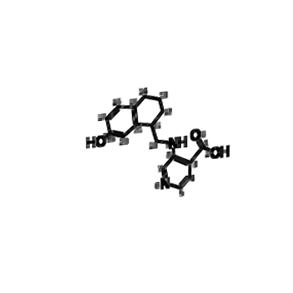 O=C(O)c1ccncc1NCC1CCCc2ccc(O)cc21